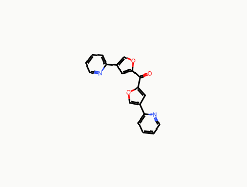 O=C(c1cc(-c2ccccn2)co1)c1cc(-c2ccccn2)co1